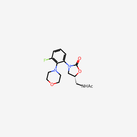 CC(=O)NC[C@@H]1CN(c2cccc(F)c2N2CCOCC2)C(=O)O1